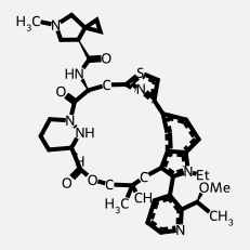 CCn1c(-c2cccnc2[C@H](C)OC)c2c3cc(ccc31)-c1csc(n1)C[C@H](NC(=O)[C@H]1CN(C)CC13CC3)C(=O)N1CCC[C@H](N1)C(=O)OCC(C)(C)C2